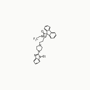 CCn1c(N2CCN(CCCCC3(C(=O)NCC(F)(F)F)c4ccccc4-c4ccccc43)CC2)nc2ccccc21